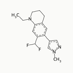 CCN1CCCc2cc(-c3cnn(C)c3)c(C(F)F)cc21